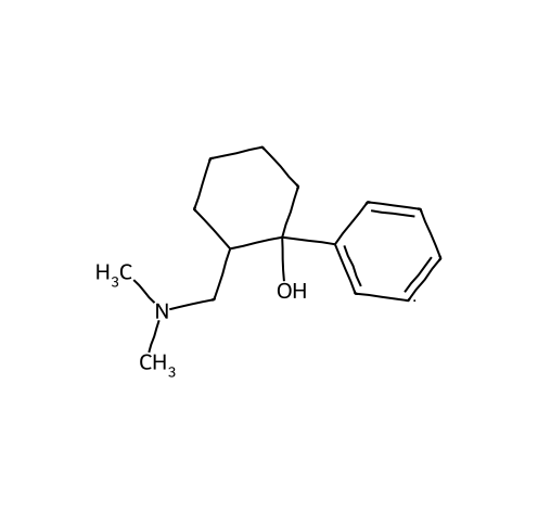 CN(C)CC1CCCCC1(O)c1c[c]ccc1